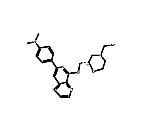 CC(=O)CN1CCO[C@H](COc2nc(-c3ccc(N(C)C)cc3)cc3nccnc23)C1